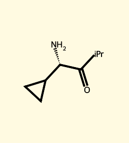 CC(C)C(=O)[C@@H](N)C1CC1